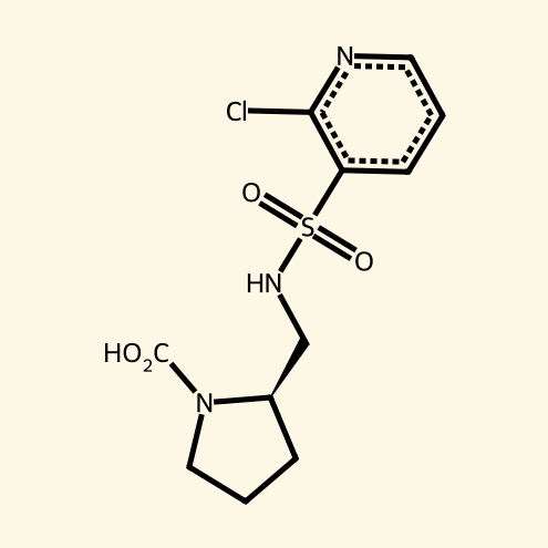 O=C(O)N1CCC[C@@H]1CNS(=O)(=O)c1cccnc1Cl